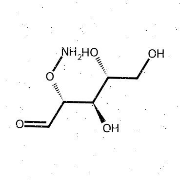 NO[C@@H](C=O)[C@H](O)[C@H](O)CO